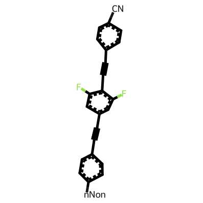 CCCCCCCCCc1ccc(C#Cc2cc(F)c(C#Cc3ccc(C#N)cc3)c(F)c2)cc1